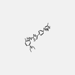 CCN(CC)c1ccc(C)c(Nc2nc(-c3ccc(-n4cc(C)nn4)cc3)cs2)c1